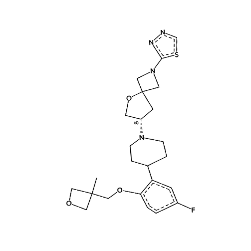 CC1(COc2ccc(F)cc2C2CCN([C@@H]3COC4(C3)CN(c3nncs3)C4)CC2)COC1